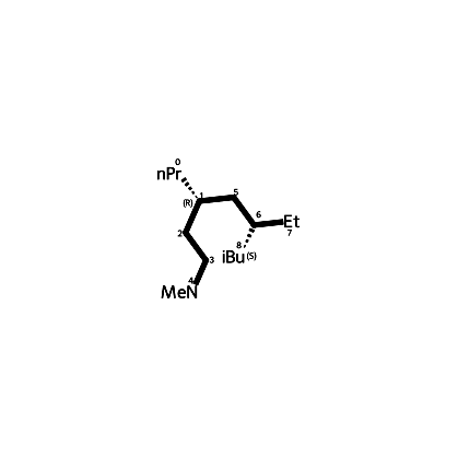 CCC[C@@H](CCNC)CC(CC)[C@@H](C)CC